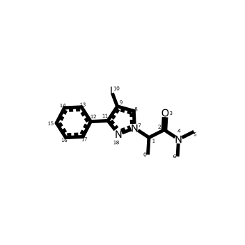 CC(C(=O)N(C)C)n1cc(I)c(-c2ccccc2)n1